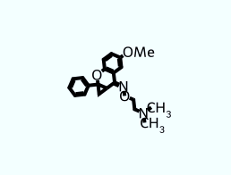 COc1ccc2c(c1)C(=NOCCN(C)C)C1CC1(c1ccccc1)O2